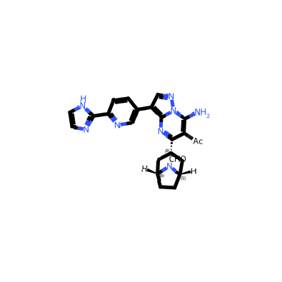 CC(=O)c1c([C@H]2C[C@H]3CC[C@@H](C2)N3C=O)nc2c(-c3ccc(-c4ncc[nH]4)nc3)cnn2c1N